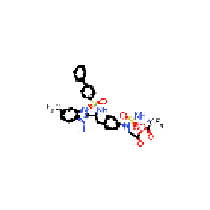 NS(=O)(=O)N(CC(=O)OC(=O)C(F)(F)F)c1ccc(CC(NS(=O)(=O)c2ccc(-c3ccccc3)cc2)c2nc3cc(C(F)(F)F)ccc3[nH]2)cc1